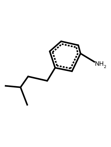 CC(C)CCc1cccc(N)c1